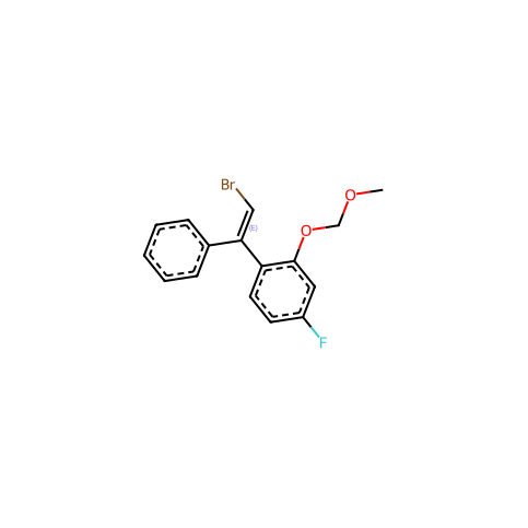 COCOc1cc(F)ccc1/C(=C/Br)c1ccccc1